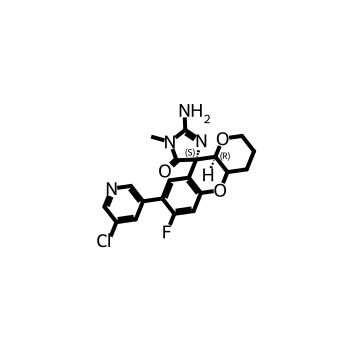 CN1C(=O)[C@]2(N=C1N)c1cc(-c3cncc(Cl)c3)c(F)cc1OC1CCCO[C@@H]12